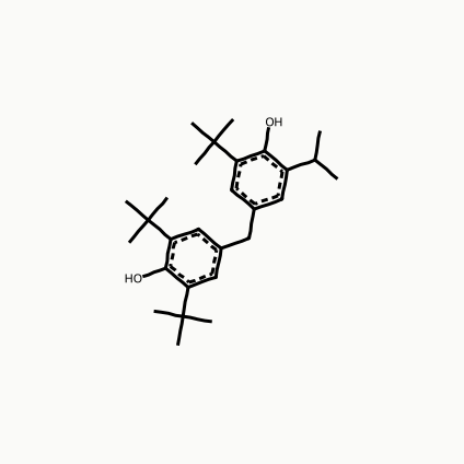 CC(C)c1cc(Cc2cc(C(C)(C)C)c(O)c(C(C)(C)C)c2)cc(C(C)(C)C)c1O